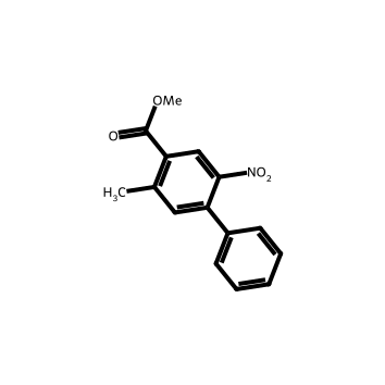 COC(=O)c1cc([N+](=O)[O-])c(-c2ccccc2)cc1C